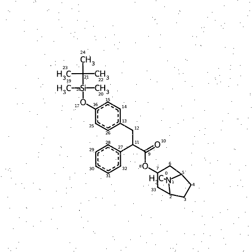 CN1C2CCC1CC(OC(=O)C(Cc1ccc(O[Si](C)(C)C(C)(C)C)cc1)c1ccccc1)C2